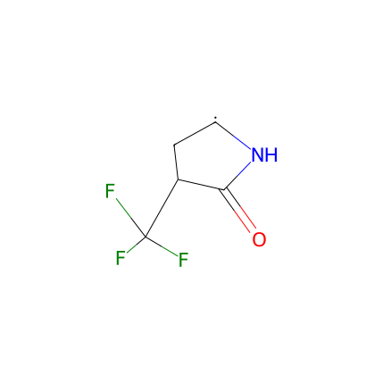 O=C1N[CH]CC1C(F)(F)F